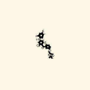 CC1(C)OCC(COc2ccc(F)c(C(=O)c3ccc(Nc4ccc(F)cc4F)cc3Cl)c2)O1